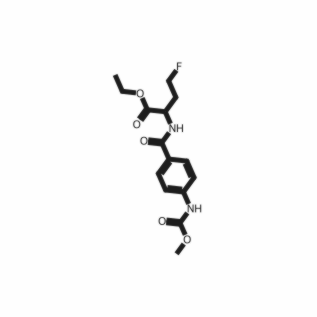 CCOC(=O)C(CCF)NC(=O)c1ccc(NC(=O)OC)cc1